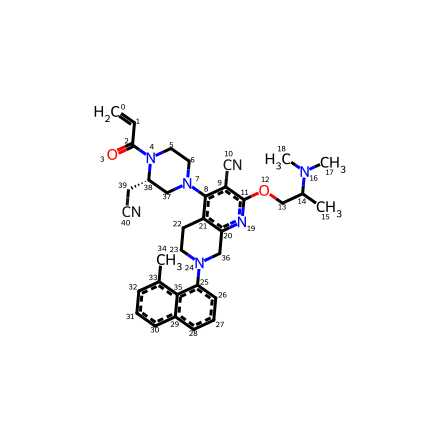 C=CC(=O)N1CCN(c2c(C#N)c(OCC(C)N(C)C)nc3c2CCN(c2cccc4cccc(C)c24)C3)C[C@@H]1CC#N